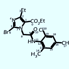 CCOC(=O)c1c(CC)nc(Br)n1CC(=O)Nc1c(C)cc(C)cc1Cl